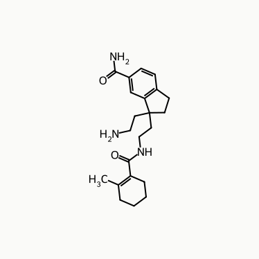 CC1=C(C(=O)NCCC2(CCN)CCc3ccc(C(N)=O)cc32)CCCC1